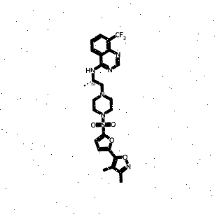 Cc1noc(-c2ccc(S(=O)(=O)N3CCN(C[C@H](C)Nc4ncnc5c(C(F)(F)F)cccc45)CC3)o2)c1C